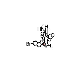 CNCC(=O)N[C@@H]1C(=O)N(Cc2c(OC)ccc3cc(Br)ccc23)c2ccccc2OC12CCOCC2